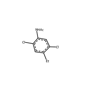 CCc1cc(Cl)c(NC(C)=O)cc1Cl